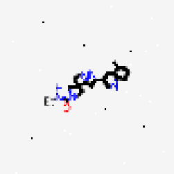 CCNC(=O)N1CCC2(CCn3nc(-c4cnc5cccc(C)c5c4)cc32)C1